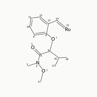 CON(C)C(=O)C(Oc1ccccc1[CH]=[Ru])C(C)C